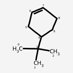 CC(C)(C)[C]1CC=CCC1